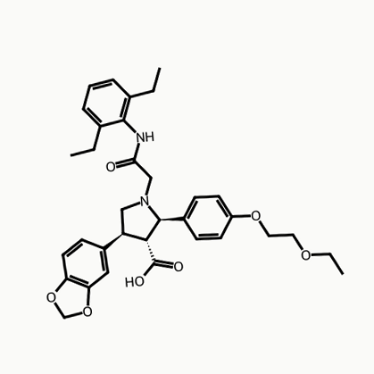 CCOCCOc1ccc([C@H]2[C@H](C(=O)O)[C@@H](c3ccc4c(c3)OCO4)CN2CC(=O)Nc2c(CC)cccc2CC)cc1